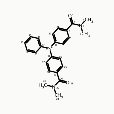 CN(C)C(=O)c1ccc([S+](c2ccccc2)c2ccc(C(=O)N(C)C)cc2)cc1